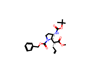 C=CC[C@@H](C(=O)OC)[C@@H]1[C@@H](NC(=O)OC(C)(C)C)CCN1C(=O)OCc1ccccc1